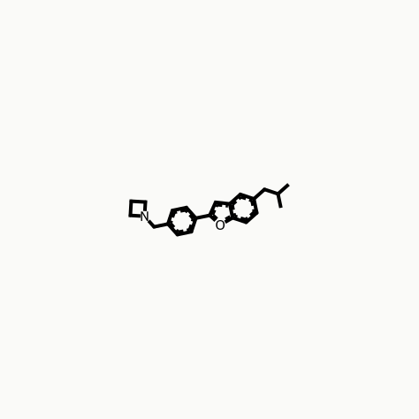 CC(C)Cc1ccc2oc(-c3ccc(CN4CCC4)cc3)cc2c1